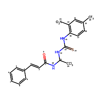 O=C(/C=C/c1ccccc1)NC(NC(=S)Nc1ccc(C(F)(F)F)cc1[N+](=O)[O-])C(Cl)(Cl)Cl